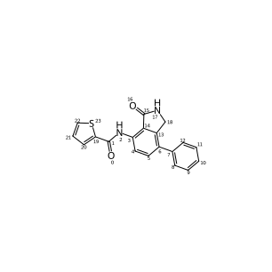 O=C(Nc1ccc(-c2ccccc2)c2c1C(=O)NC2)c1cccs1